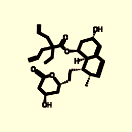 C=CCC(CC)(CC=C)C(=O)O[C@H]1C[C@H](O)C=C2C=C[C@H](C)[C@H](CC[C@@H]3C[C@@H](O)CC(=O)O3)[C@H]21